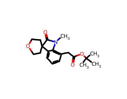 CN1C(=O)C2(CCOCC2)c2cccc(CC(=O)OC(C)(C)C)c21